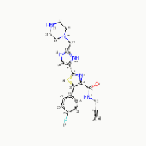 C#CCNC(=O)c1nc(-c2cnc(CN3CCNCC3)[nH]2)sc1-c1ccc(F)cc1